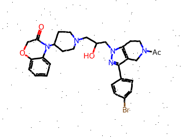 CC(=O)N1CCc2c(c(-c3ccc(Br)cc3)nn2CC(O)CN2CCC(N3C(=O)COc4ccccc43)CC2)C1